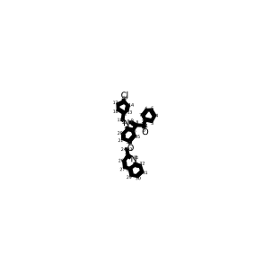 O=C(c1ccccc1)c1cn(Cc2ccc(Cl)cc2)c2ccc(OCc3ccc4ccccc4n3)cc12